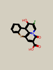 O=C(O)c1cc2c3c(c(O)c(F)cn3c1=O)-c1ccccc1S2